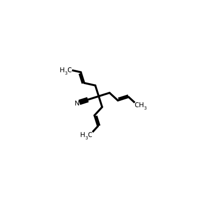 CC=CCC(C#N)(CC=CC)CC=CC